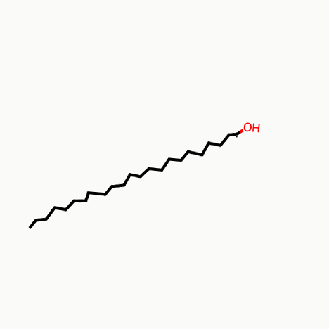 CCCCCCCCCCCCCCCCCCCCCC[CH]O